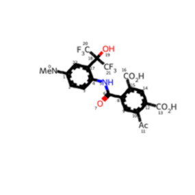 CNc1ccc(NC(=O)c2cc(C(C)=O)c(C(=O)O)cc2C(=O)O)c(C(O)(C(F)(F)F)C(F)(F)F)c1